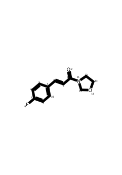 O=C(C=Cc1ccc(F)cc1)N1CCOC1